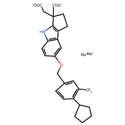 O=C([O-])CC1(C(=O)[O-])CCc2c1[nH]c1ccc(OCc3ccc(C4CCCC4)c(C(F)(F)F)c3)cc21.[Na+].[Na+]